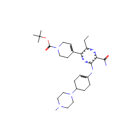 CCc1nc(C(N)=O)c(NC2=CCC(N3CCN(C)CC3)CC2)nc1C1=CCN(C(=O)OC(C)(C)C)CC1